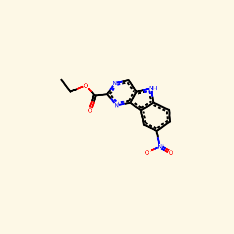 CCOC(=O)c1ncc2[nH]c3ccc([N+](=O)[O-])cc3c2n1